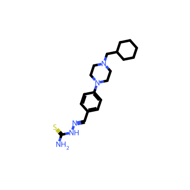 NC(=S)NN=Cc1ccc(N2CCN(CC3CCCCC3)CC2)cc1